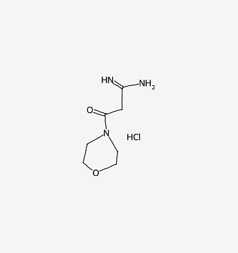 Cl.N=C(N)CC(=O)N1CCOCC1